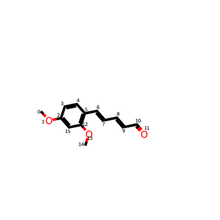 COc1ccc(/C=C/C=C/C=O)c(OC)c1